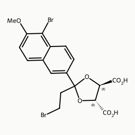 COc1ccc2cc(C3(CCBr)O[C@@H](C(=O)O)[C@H](C(=O)O)O3)ccc2c1Br